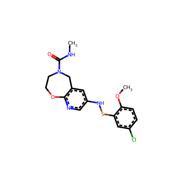 CNC(=O)N1CCOc2ncc(NSc3cc(Cl)ccc3OC)cc2C1